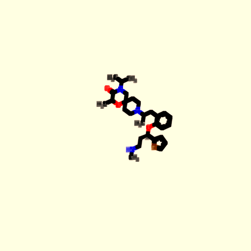 CNCC[C@@H](Oc1ccccc1CC(C)N1CCC2(CC1)CN(C(C)C)C(=O)C(C)O2)c1cccs1